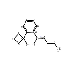 N#CCC/C=C1\CCC2(CCC2)c2ccccc21